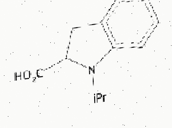 CC(C)N1c2ccccc2CC1C(=O)O